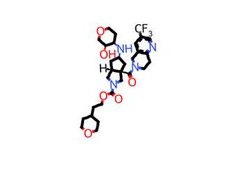 O=C(OCCC1CCOCC1)N1C[C@@H]2C[C@@H](N[C@@H]3CCOC[C@@H]3O)C[C@]2(C(=O)N2CCc3ncc(C(F)(F)F)cc3C2)C1